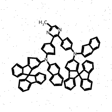 Cc1cnc(-c2ccc(N(c3ccc4c(c3)C3(c5ccccc5-c5ccccc53)c3ccccc3-4)c3ccc4ccccc4c3)cc2)c(-c2ccc(N(c3ccc4c(c3)C3(c5ccccc5-c5ccccc53)c3ccccc3-4)c3ccc4ccccc4c3)cc2)n1